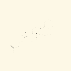 C=C(C)CCC[C@](C)(O)[C@H]1CC[C@H]2[C@@H]3C[C@H](O)[C@H]4C[C@@H](O)CC[C@]4(C)[C@H]3CC[C@@]21C